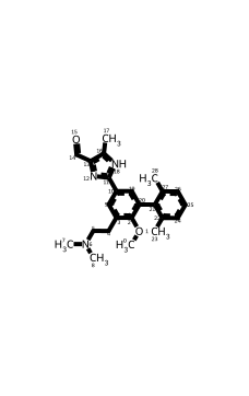 COc1c(CCN(C)C)cc(-c2nc(C=O)c(C)[nH]2)cc1-c1c(C)cccc1C